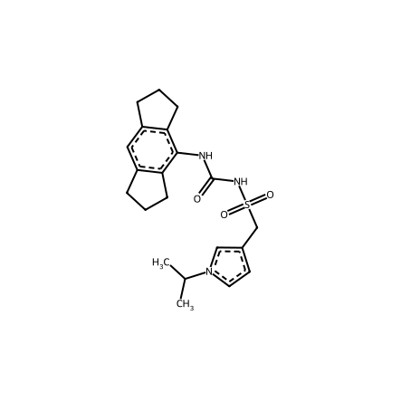 CC(C)n1ccc(CS(=O)(=O)NC(=O)Nc2c3c(cc4c2CCC4)CCC3)c1